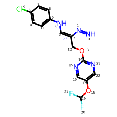 N=N/C(=C\Nc1ccc(Cl)cc1)COc1ncc(OC(F)F)cn1